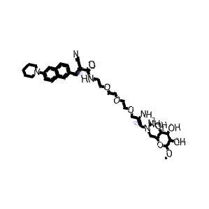 COC1OC(CN(N)/C=C(\N)COCCOCCOCCNC(=O)/C(C#N)=C/c2ccc3cc(N4CCCCC4)ccc3c2)C(O)C(O)C1O